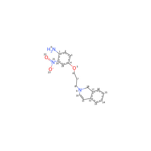 Nc1ccc(OCCCN2C=Cc3ccccc3C2)cc1[N+](=O)[O-]